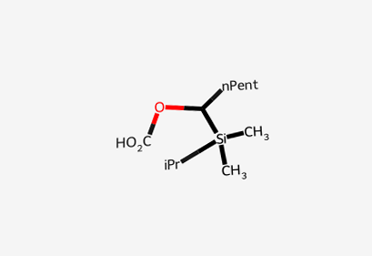 CCCCCC(OC(=O)O)[Si](C)(C)C(C)C